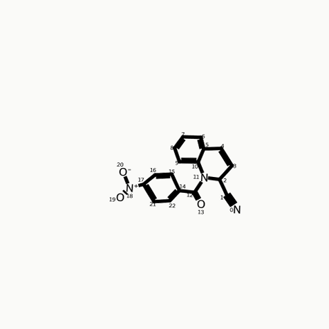 N#CC1C=Cc2ccccc2N1C(=O)c1ccc([N+](=O)[O-])cc1